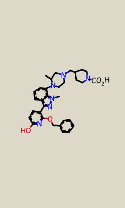 CC1CN(CC2CCN(C(=O)O)CC2)CCN1c1cccc2c(-c3ccc(O)nc3OCc3ccccc3)nn(C)c12